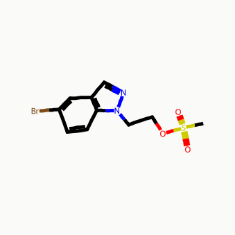 CS(=O)(=O)OCCn1ncc2cc(Br)ccc21